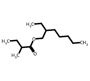 CCCCCC(CC)COC(=O)C(C)CC